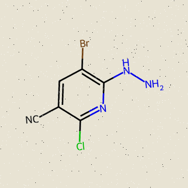 N#Cc1cc(Br)c(NN)nc1Cl